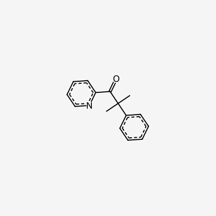 CC(C)(C(=O)c1ccccn1)c1ccccc1